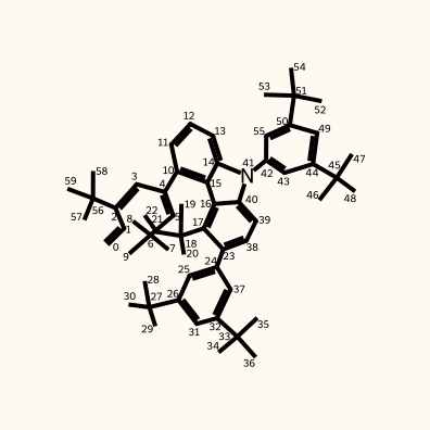 C=C/C(=C\C(=C/C(C)(C)C)c1cccc2c1c1c(C(C)(C)CC)c(-c3cc(C(C)(C)C)cc(C(C)(C)C)c3)ccc1n2-c1cc(C(C)(C)C)cc(C(C)(C)C)c1)C(C)(C)C